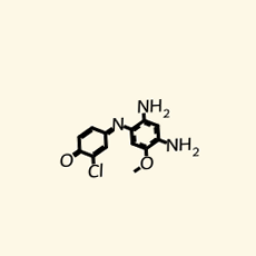 COc1cc(N=C2C=CC(=O)C(Cl)=C2)c(N)cc1N